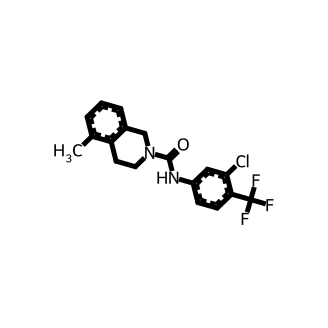 Cc1cccc2c1CCN(C(=O)Nc1ccc(C(F)(F)F)c(Cl)c1)C2